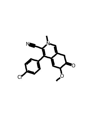 COC1C=C2C(=CN(C)C(C#N)=C2c2ccc(Cl)cc2)CC1=O